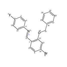 Fc1ccc(/N=C/c2ccc(Br)cc2OCc2ccccc2)cc1